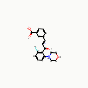 O=C(O)c1cccc(/C=C/C(=O)c2c(F)cccc2N2CCOCC2)c1